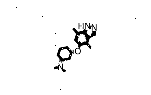 Cc1c(O[C@H]2CCC[C@@H](N(C)C)C2)cc(C)c2[nH]ncc12